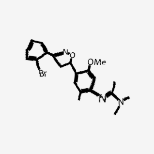 COc1cc(/N=C(\C)N(C)C)c(C)cc1C1CC(c2ccccc2Br)=NO1